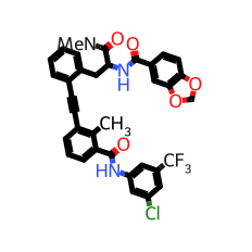 CNC(=O)C(Cc1ccccc1C#Cc1cccc(C(=O)Nc2cc(Cl)cc(C(F)(F)F)c2)c1C)NC(=O)c1ccc2c(c1)OCO2